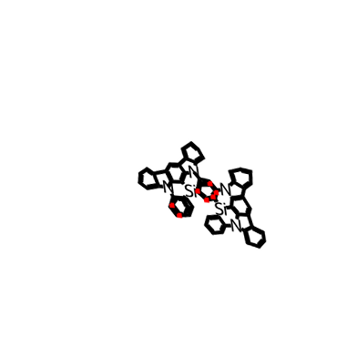 c1ccc([Si]23c4ccccc4-n4c5ccccc5c5cc6c7ccccc7n(c6c2c54)-c2cc4c(cc23)[Si]2(c3ccccc3)c3ccccc3-n3c5ccccc5c5cc6c7ccccc7n-4c6c2c53)cc1